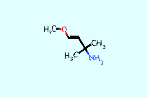 COC=CC(C)(C)N